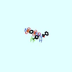 CN(C)S(=O)(=O)c1ccc(S(=O)(=O)Nc2cc(C(F)(F)F)ccc2C(=O)NC23CC(c4ccccc4)(C2)C3)cc1